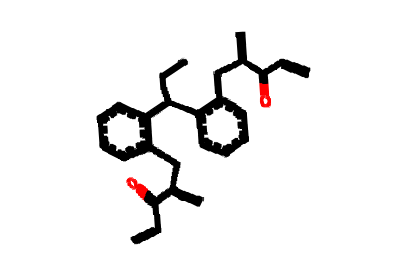 C=CC(=O)C(=C)Cc1ccccc1C(CC)c1ccccc1CC(=C)C(=O)C=C